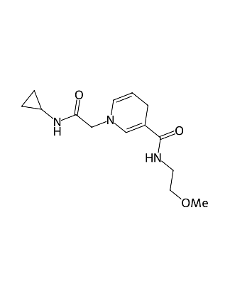 COCCNC(=O)C1=CN(CC(=O)NC2CC2)C=CC1